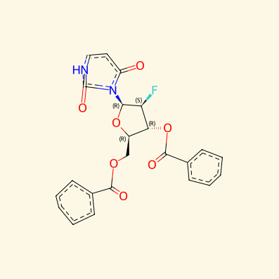 O=C(OC[C@H]1O[C@@H](n2c(=O)cc[nH]c2=O)[C@@H](F)[C@@H]1OC(=O)c1ccccc1)c1ccccc1